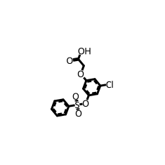 O=C(O)COc1cc(Cl)cc(OS(=O)(=O)c2ccccc2)c1